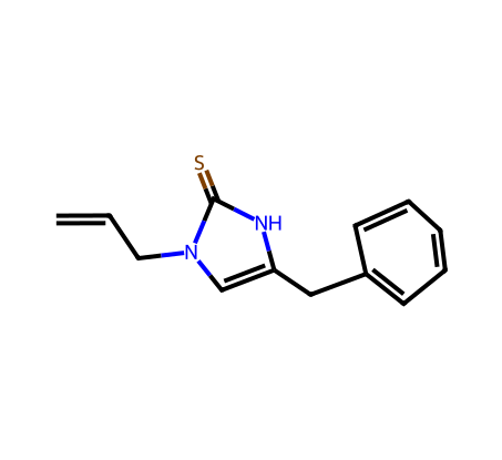 C=CCn1cc(Cc2ccccc2)[nH]c1=S